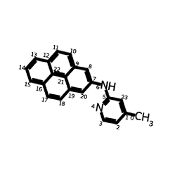 Cc1ccnc(Nc2cc3ccc4cccc5ccc(c2)c3c45)c1